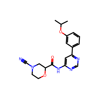 CC(C)Oc1cccc(-c2cc(NC(=O)C3CN(C#N)CCO3)ncn2)c1